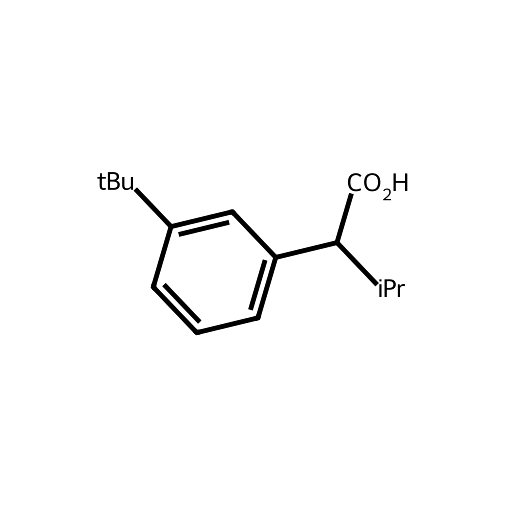 CC(C)C(C(=O)O)c1cccc(C(C)(C)C)c1